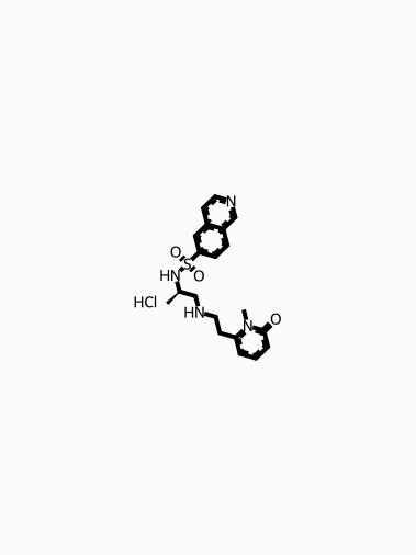 C[C@H](CNCCc1cccc(=O)n1C)NS(=O)(=O)c1ccc2cnccc2c1.Cl